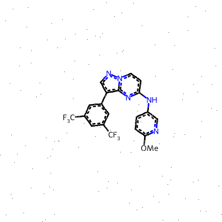 COc1ccc(Nc2ccn3ncc(-c4cc(C(F)(F)F)cc(C(F)(F)F)c4)c3n2)cn1